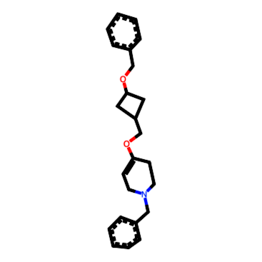 C1=C(OCC2CC(OCc3ccccc3)C2)CCN(Cc2ccccc2)C1